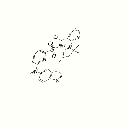 CC1CN(c2ncccc2C(=O)NS(=O)(=O)c2cccc(Nc3ccc4c(c3)CC=N4)n2)C(C)(C)C1